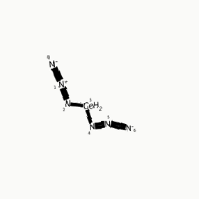 [N-]=[N+]=[N][GeH2][N]=[N+]=[N-]